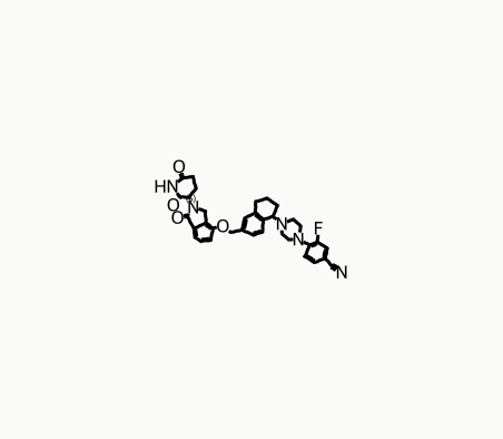 N#Cc1ccc(N2CCN(C3CCCc4cc(COc5cccc6c5CN([C@H]5CCC(=O)NC5=O)C6=O)ccc43)CC2)c(F)c1